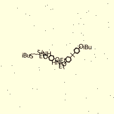 CCC(C)Oc1ccc(C(C)(C)c2ccc(OC(CC)(CC)NOc3ccc(ONC(C)(CC)SCCSC(C)CC)cc3)cc2)cc1